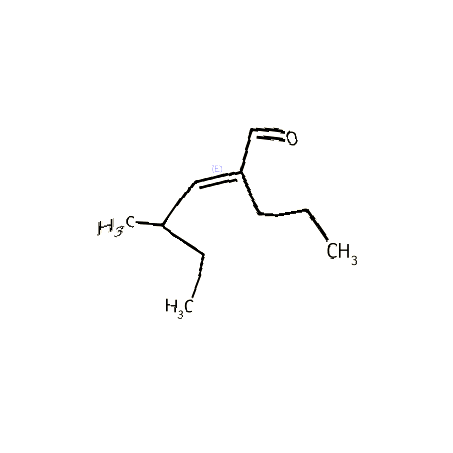 CCC/C(C=O)=C\C(C)CC